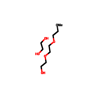 COCCOCCOCCO.OCCO